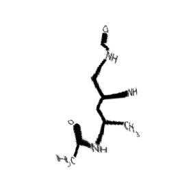 CC(=O)NC(C)CC(=N)CNC=O